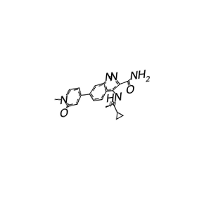 C[C@@H](Nc1c(C(N)=O)nnc2cc(-c3ccn(C)c(=O)c3)ccc12)C1CC1